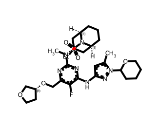 CCS(=O)(=O)N1[C@@H]2CCC[C@H]1C[C@H](N(C)c1nc(CO[C@@H]3CCOC3)c(F)c(Nc3cc(C)n(C4CCCCO4)n3)n1)C2